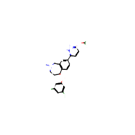 CN1CCC(Oc2cc(F)cc(F)c2)c2ccc(-c3ccc(OC(F)F)nn3)cc2C1